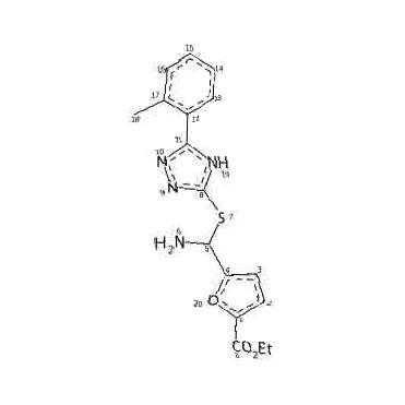 CCOC(=O)c1ccc(C(N)Sc2nnc(-c3ccccc3C)[nH]2)o1